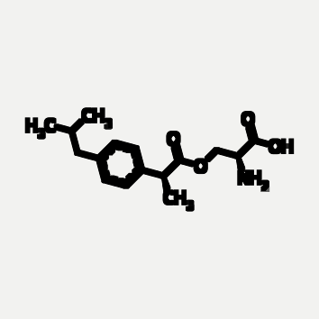 CC(C)Cc1ccc([C@H](C)C(=O)OC[C@H](N)C(=O)O)cc1